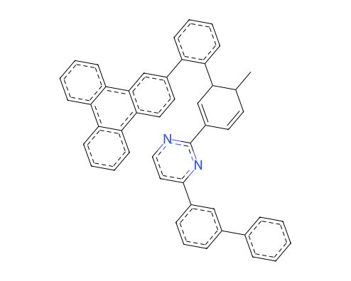 CC1C=CC(c2nccc(-c3cccc(-c4ccccc4)c3)n2)=CC1c1ccccc1-c1ccc2c3ccccc3c3ccccc3c2c1